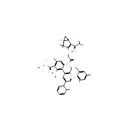 Cn1nc(NS(C)(=O)=O)c2c(Cl)ccc(-c3cc(C4C=CC=CC4Cl)cnc3[C@H](Cc3cc(F)cc(F)c3)NC(=O)Cn3nc(C(F)F)c4c3C(F)(F)[C@@H]3C[C@H]43)c21